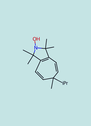 CC(C)C1(C)C=CC2=C(C=C1)C(C)(C)N(O)C2(C)C